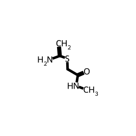 C=C(N)SCC(=O)NC